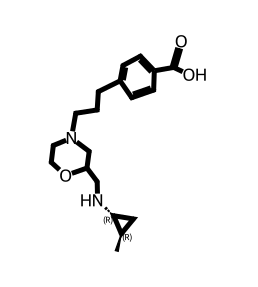 C[C@@H]1C[C@H]1NCC1CN(CCCc2ccc(C(=O)O)cc2)CCO1